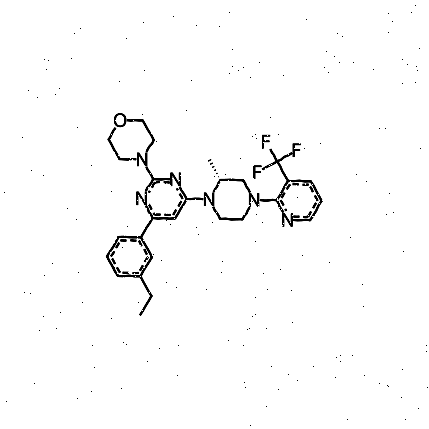 CCc1cccc(-c2cc(N3CCN(c4ncccc4C(F)(F)F)C[C@H]3C)nc(N3CCOCC3)n2)c1